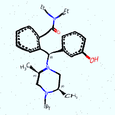 CCCN1C[C@@H](C)N([C@H](c2cccc(O)c2)c2ccccc2C(=O)N(CC)CC)C[C@H]1C